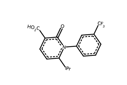 CC(C)c1ccc(C(=O)O)c(=O)n1-c1cccc(C(F)(F)F)c1